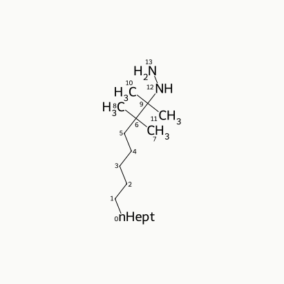 CCCCCCCCCCCCC(C)(C)C(C)(C)NN